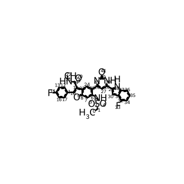 CCS(=O)(=O)Nc1cc2oc(-c3ccc(F)cc3)c(C(=O)NC)c2cc1-c1cc(-c2cc3c(F)cccc3[nH]2)[nH]c(=O)n1